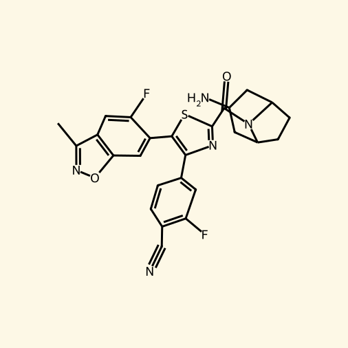 Cc1noc2cc(-c3sc(C(=O)N4C5CCC4CC(N)C5)nc3-c3ccc(C#N)c(F)c3)c(F)cc12